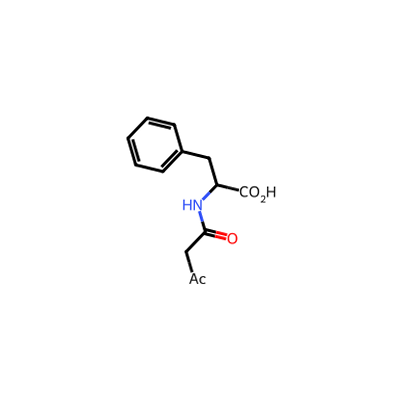 CC(=O)CC(=O)NC(Cc1ccccc1)C(=O)O